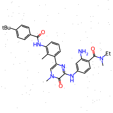 CCN(C)C(=O)c1ccc(Nc2nc(-c3cccc(NC(=O)c4ccc(C(C)(C)C)cc4)c3C)cn(C)c2=O)cc1N